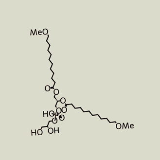 COCCCCCCCCCCCC(=O)OC[C@H](COP(=O)(O)OCC(O)CO)OC(=O)CCCCCCCCCCCOC